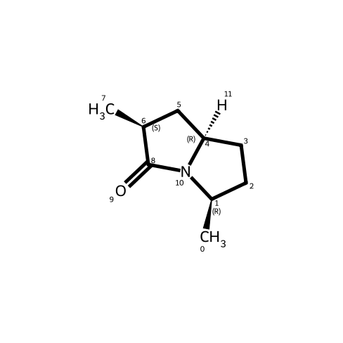 C[C@@H]1CC[C@@H]2C[C@H](C)C(=O)N21